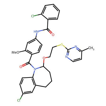 COc1cc(NC(=O)c2ccccc2Cl)ccc1C(=O)N1c2ccc(Cl)cc2CCCC1OCCSc1nccc(C)n1